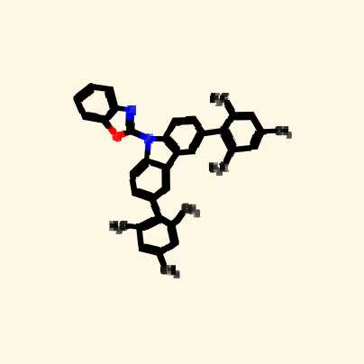 Cc1cc(C)c(-c2ccc3c(c2)c2cc(-c4c(C)cc(C)cc4C)ccc2n3-c2nc3ccccc3o2)c(C)c1